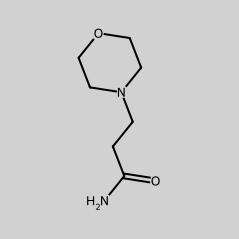 NC(=O)CCN1CCOCC1